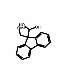 COCC1(C(O)O)c2ccccc2-c2ccccc21